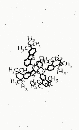 Cc1cc2c3c(c1)N(c1cccc4c1sc1ccc(C(C)(C)C)cc14)c1c(sc4cc5c(cc14)C(C)(C)CCC5(C)C)B3c1cc3c(cc1N2c1ccc2c(c1)C(C)(C)CCC2(C)C)C(C)(C)CCC3(C)C